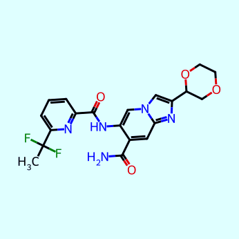 CC(F)(F)c1cccc(C(=O)Nc2cn3cc(C4COCCO4)nc3cc2C(N)=O)n1